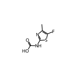 Cc1nc(NC(=O)O)sc1F